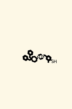 Cc1cc(CN2CCN(C3CCCC(Cc4ccccc4)(Cc4ccccc4)CC3)CC2)ccc1S